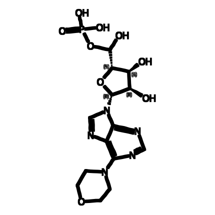 O=P(O)(O)OC(O)[C@H]1O[C@@H](n2cnc3c(N4CCOCC4)ncnc32)[C@H](O)[C@@H]1O